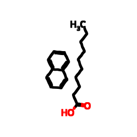 CCCCCCCCCC(=O)O.c1ccc2ccccc2c1